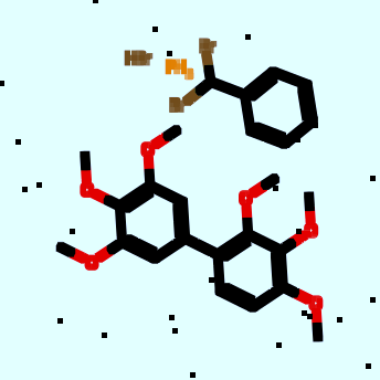 Br.BrC(Br)c1ccccc1.COc1cc(-c2ccc(OC)c(OC)c2OC)cc(OC)c1OC.P